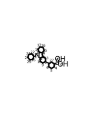 OB(O)c1cccc(-c2ccc3c(c2)c2ccccc2n3-c2ccccc2)c1